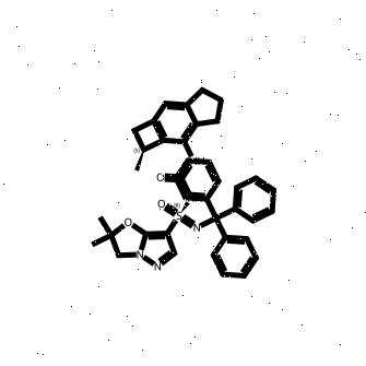 C[C@H]1Cc2cc3c(c(NC(=O)N[S@@](=O)(=NC(c4ccccc4)(c4ccccc4)c4ccccc4)c4cnn5c4OC(C)(C)C5)c21)CCC3